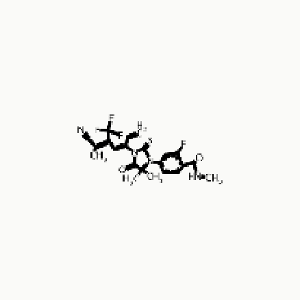 C=C/C(=C\C(=C(/C)C#N)C(F)(F)F)N1C(=O)C(C)(C)N(c2ccc(C(=O)NC)c(F)c2)C1=S